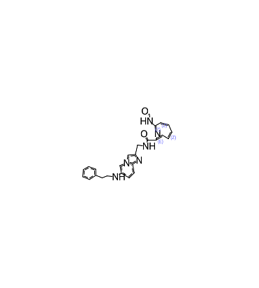 O=CNC1=N\C(C(=O)NCc2cn3cc(NCCc4ccccc4)ccc3n2)=C\C=C/C=C\1